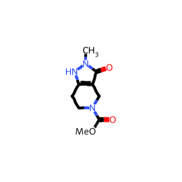 COC(=O)N1CCc2[nH]n(C)c(=O)c2C1